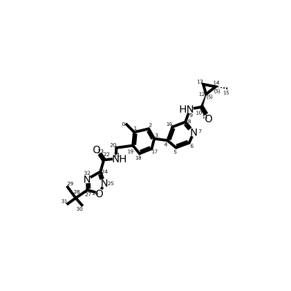 Cc1cc(-c2ccnc(NC(=O)[C@H]3C[C@@H]3C)c2)ccc1CNC(=O)c1noc(C(C)(C)C)n1